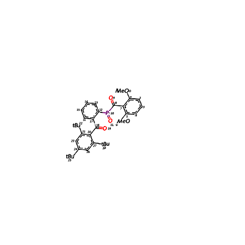 COc1cccc(OC)c1C(=O)[P](=O)c1ccccc1C(=O)c1c(C(C)(C)C)cc(C(C)(C)C)cc1C(C)(C)C